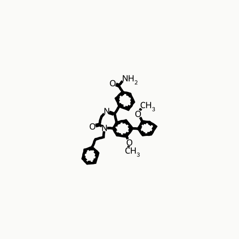 COc1ccccc1-c1cc2c(cc1OC)N(CCc1ccccc1)C(=O)CN=C2c1cccc(C(N)=O)c1